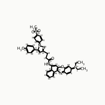 CC[N+](CC)=c1ccc2nc3c(cc(NC(=O)CCc4cc(-c5ccc(C)cc5)n(-c5ccc(S(C)(=O)=O)cc5)n4)c4ccccc43)oc-2c1